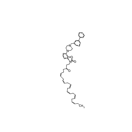 CC/C=C\C/C=C\C/C=C\C/C=C\C/C=C\C/C=C\CCC(=O)CCn1c(=O)oc2c(N3CCN(Cc4cccc(-c5ccccc5)c4)CC3)cccc21